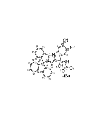 CC(C)(C)OC(=O)NC(C)(c1ccc(C#N)c(F)c1)c1cn(C(c2ccccc2)(c2ccccc2)c2ccccc2)cn1